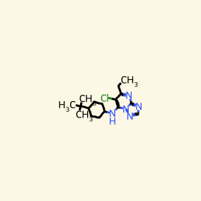 CCc1nc2ncnn2c(NC2CCC(C(C)(C)C)CC2)c1Cl